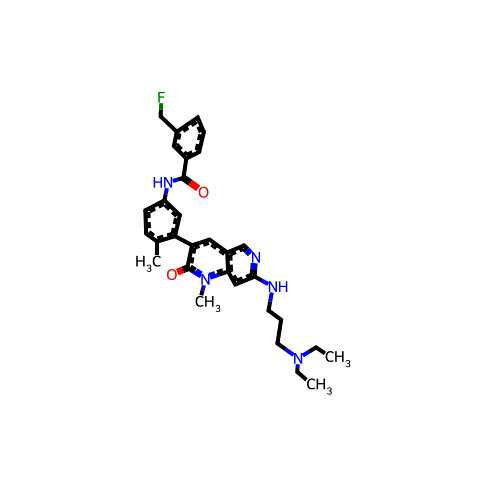 CCN(CC)CCCNc1cc2c(cn1)cc(-c1cc(NC(=O)c3cccc(CF)c3)ccc1C)c(=O)n2C